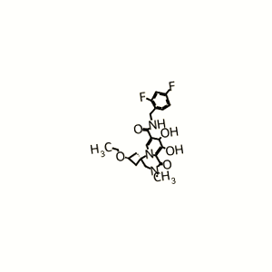 CCO[C@H]1C[C@]2(CN(C)C(=O)C3=C(O)C(O)C(C(=O)NCc4ccc(F)cc4F)=CN32)C1